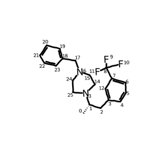 C[C@@H](Cc1cccc(C(F)(F)F)c1)N1CCN(Cc2ccccc2)CC1